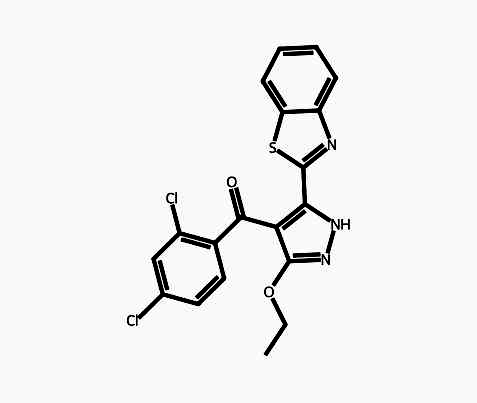 CCOc1n[nH]c(-c2nc3ccccc3s2)c1C(=O)c1ccc(Cl)cc1Cl